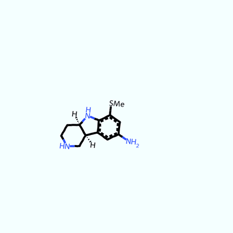 CSc1cc(N)cc2c1N[C@@H]1CCNC[C@H]21